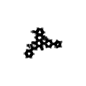 Cc1c(N2CCN(c3cncs3)CC2C)c(=O)n(C[C@H](N)c2ccccc2)c(=O)n1Cc1c(F)cccc1C(F)(F)F